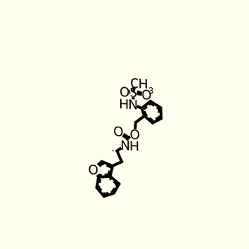 CS(=O)(=O)Nc1ccccc1COC(=O)N[CH]Cc1coc2ccccc12